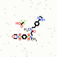 CN(CCc1ccc(C2=NCCN2)cc1)C(=O)CCN(C)S(=O)(=O)c1ccc(S(=O)(=O)N2CCOCC2)cc1.O=C(O)C(F)(F)F